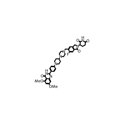 COc1cc(OC)c2c(=O)[nH]c(-c3ccc(N4CCC(N5CCN(Cc6cc7c(cc6F)C(=O)N(C6CCC(=O)NC6=O)C7)CC5)CC4)cc3)nc2c1